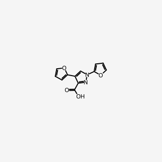 O=C(O)c1nn(-c2ccco2)cc1-c1ccco1